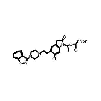 CCCCCCCCCC(=O)OC(C)N1C(=O)Cc2cc(CCN3CCN(c4nsc5ccccc45)CC3)c(Cl)cc21